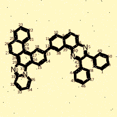 c1ccc(-c2nc3ccc4ccc(-c5ccc6c(c5)c5c7ccccc7ccc5c5nc7ccccn7c65)cc4c3nc2-c2ccccc2)cc1